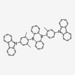 Cc1cc(-n2c3ccccc3c3ccccc32)ccc1B1c2ccccc2B(c2c(C)cc(-n3c4ccccc4c4ccccc43)cc2C)c2ccccc21